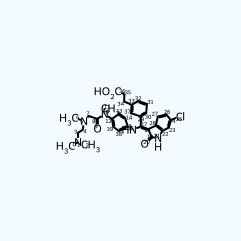 CN(C)CCN(C)CC(=O)N(C)c1ccc(N/C(=C2\C(=O)Nc3cc(Cl)ccc32)c2cccc(CCC(=O)O)c2)cc1